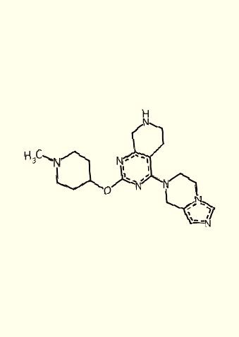 CN1CCC(Oc2nc3c(c(N4CCn5cncc5C4)n2)CCNC3)CC1